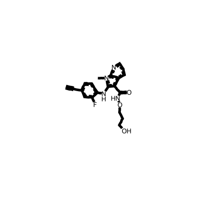 C#Cc1ccc(Nc2c(C(=O)NOCCCO)c3cccnc3n2C)c(F)c1